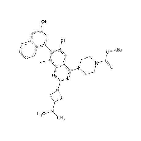 CN(C)C1CN(c2nc(N3CCN(C(=O)OC(C)(C)C)CC3)c3cc(Cl)c(-c4cc(O)cc5ccccc45)c(F)c3n2)C1